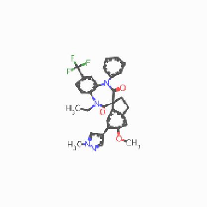 CCN1C(=O)C2(CCc3cc(OC)c(-c4cnn(C)c4)cc32)C(=O)N(c2ccccc2)c2cc(C(F)(F)F)ccc21